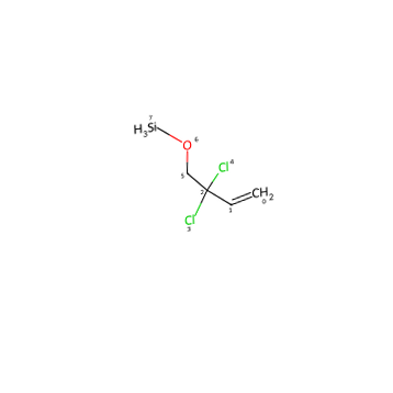 C=CC(Cl)(Cl)CO[SiH3]